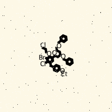 CCOc1ccc(Cc2cc(C3CC(OCc4ccccc4)CC(COCc4ccccc4)O3)c(OCCCCl)c(Br)c2Cl)cc1